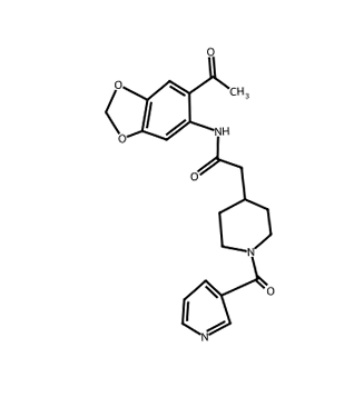 CC(=O)c1cc2c(cc1NC(=O)CC1CCN(C(=O)c3cccnc3)CC1)OCO2